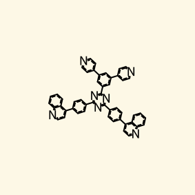 c1ccc2c(-c3ccc(-c4nc(-c5ccc(-c6ccnc7ccccc67)cc5)nc(-c5cc(-c6ccncc6)cc(-c6ccncc6)c5)n4)cc3)ccnc2c1